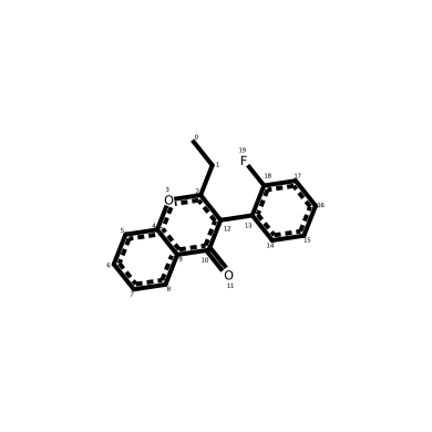 CCc1oc2ccccc2c(=O)c1-c1ccccc1F